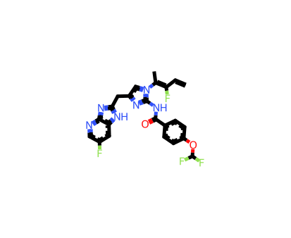 C=C/C(F)=C(\C)n1cc(Cc2nc3ncc(F)cc3[nH]2)nc1NC(=O)c1ccc(OC(F)F)cc1